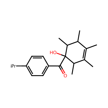 CC1=C(C)C(C)C(O)(C(=O)c2ccc(C(C)C)cc2)C(C)C1C